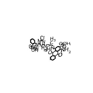 CC(C)(CNc1nc(Cl)nc(Nc2ccccc2S(=O)(=O)O)n1)CNc1cc(S(=O)(=O)O)c(N)c2c1C(=O)c1ccccc1C2=O